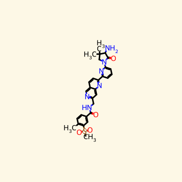 Cc1ccc(C(=O)NCc2cc3nc(-c4cccc(N5CC(C)(C)C(N)C5=O)n4)ccc3cn2)cc1S(C)(=O)=O